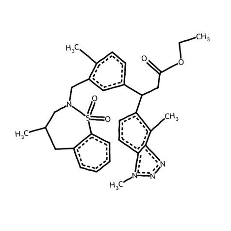 CCOC(=O)CC(c1ccc(C)c(CN2CC(C)Cc3ccccc3S2(=O)=O)c1)c1ccc2c(nnn2C)c1C